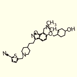 CN(C)Cc1c(OCC2CCC(O)CC2)ccc2c(CCC3CCN(Cc4ccc(C#N)s4)CC3)noc12